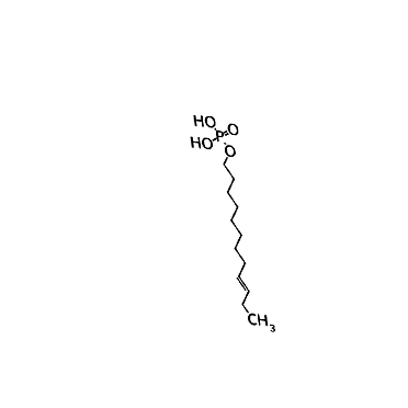 CCC=CCCCCCCCCOP(=O)(O)O